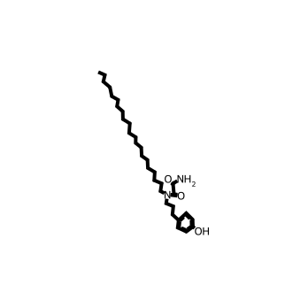 CCCCCCCCCCCCCCCCCCCCCN(CCCc1ccc(O)cc1)C(=O)C(N)=O